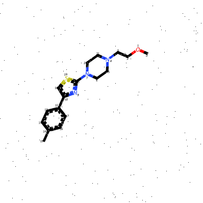 COCCN1CCN(c2nc(-c3ccc(C)cc3)cs2)CC1